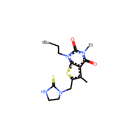 CCn1c(=O)c2c(C)c(CN3CCNC3=S)sc2n(CCC(C)(C)C)c1=O